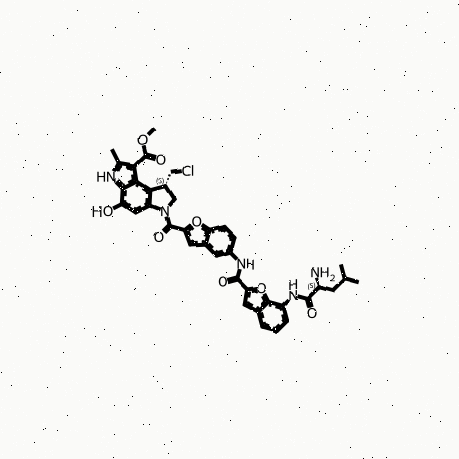 COC(=O)c1c(C)[nH]c2c(O)cc3c(c12)[C@H](CCl)CN3C(=O)c1cc2cc(NC(=O)c3cc4cccc(NC(=O)[C@@H](N)CC(C)C)c4o3)ccc2o1